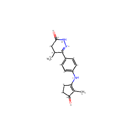 CC1=C(Nc2ccc(C3=NNC(=O)CC3C)cc2)CCC1=O